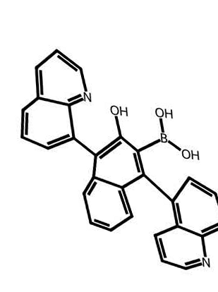 OB(O)c1c(O)c(-c2cccc3cccnc23)c2ccccc2c1-c1cccc2ncccc12